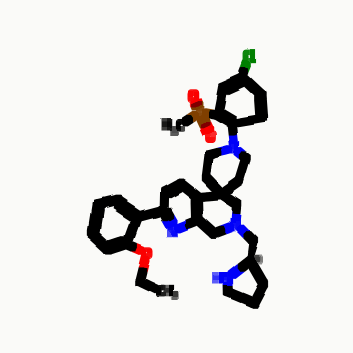 CCOc1ccccc1-c1ccc2c(n1)CN(C[C@H]1CCCN1)CC21CCN(c2ccc(Cl)cc2S(C)(=O)=O)CC1